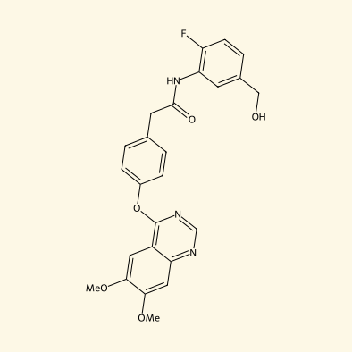 COc1cc2ncnc(Oc3ccc(CC(=O)Nc4cc(CO)ccc4F)cc3)c2cc1OC